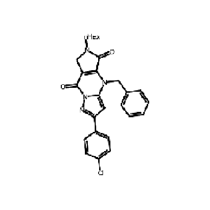 CCCCCCN1Cc2c(n(Cc3ccccc3)c3cc(-c4ccc(Cl)cc4)nn3c2=O)C1=O